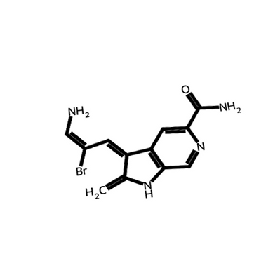 C=c1[nH]c2cnc(C(N)=O)cc2/c1=C/C(Br)=C\N